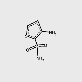 Nc1ccsc1S(N)(=O)=O